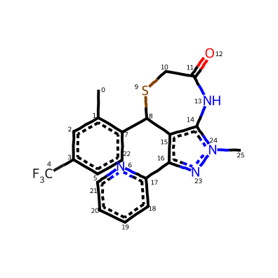 Cc1cc(C(F)(F)F)ccc1C1SCC(=O)Nc2c1c(-c1ccccn1)nn2C